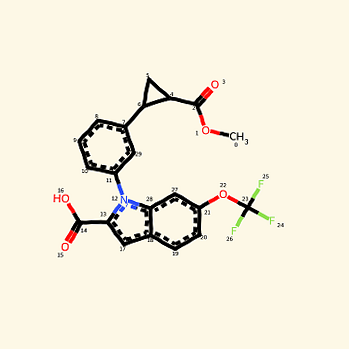 COC(=O)C1CC1c1cccc(-n2c(C(=O)O)cc3ccc(OC(F)(F)F)cc32)c1